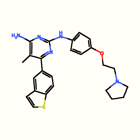 Cc1c(N)nc(Nc2ccc(OCCN3CCCC3)cc2)nc1-c1ccc2sccc2c1